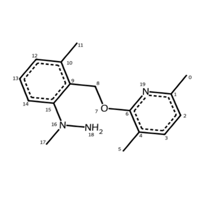 Cc1ccc(C)c(OCc2c(C)cccc2N(C)N)n1